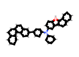 c1ccc(N(c2ccc(-c3ccc4c(ccc5ccc6ccccc6c54)c3)cc2)c2ccc3oc4c5ccccc5ccc4c3c2)cc1